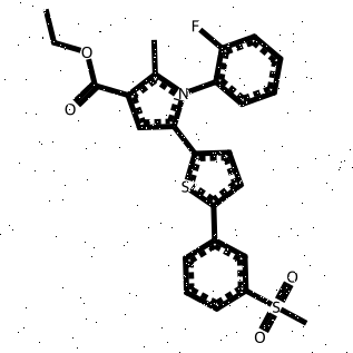 CCOC(=O)c1cc(-c2ccc(-c3cccc(S(C)(=O)=O)c3)s2)n(-c2ccccc2F)c1C